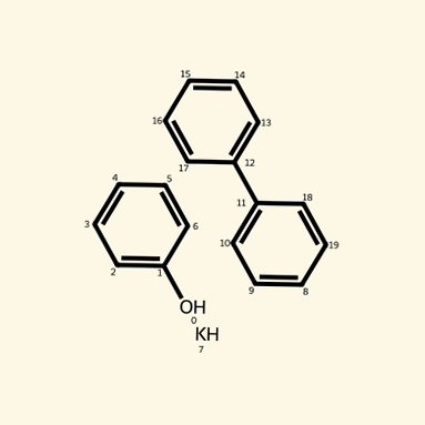 Oc1ccccc1.[KH].c1ccc(-c2ccccc2)cc1